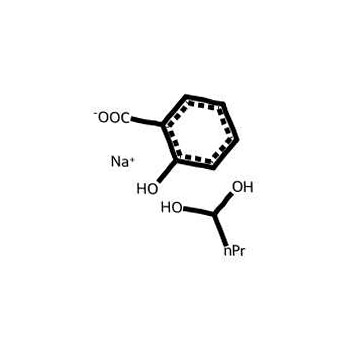 CCCC(O)O.O=C([O-])c1ccccc1O.[Na+]